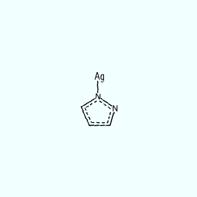 [Ag][n]1cccn1